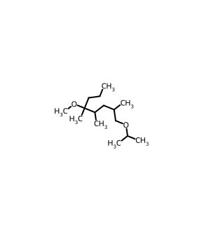 CCCC(C)(OC)C(C)CC(C)COC(C)C